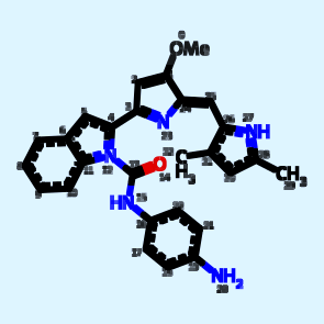 COC1=CC(c2cc3ccccc3n2C(=O)Nc2ccc(N)cc2)=N/C1=C\c1[nH]c(C)cc1C